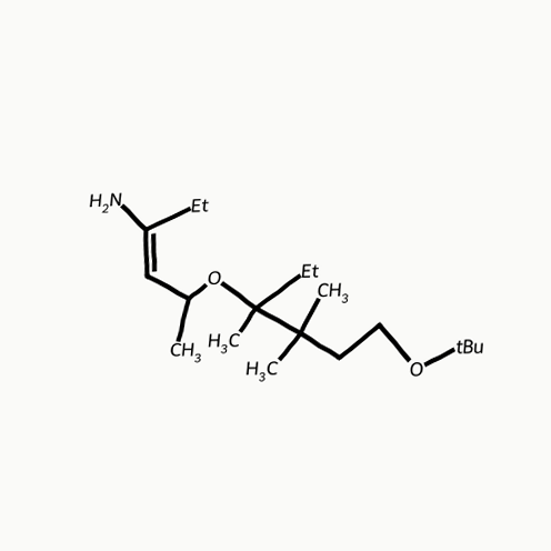 CC/C(N)=C\C(C)OC(C)(CC)C(C)(C)CCOC(C)(C)C